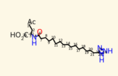 CC(=O)CC[C@H](NC(=O)CCCCCCCCCCCCCCCc1n[nH][nH]1)C(=O)O